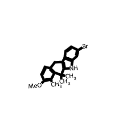 COc1ccc2c(c1C)C(C)(C)c1[nH]c3cc(Br)ccc3c1C2